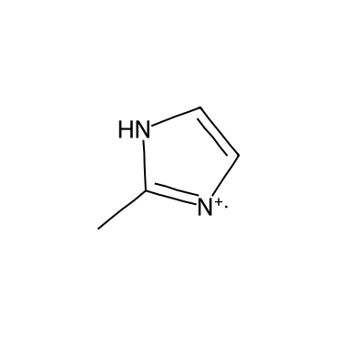 CC1=[N+]C=CN1